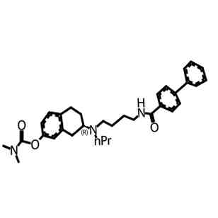 CCCN(CCCCNC(=O)c1ccc(-c2ccccc2)cc1)[C@@H]1CCc2ccc(OC(=O)N(C)C)cc2C1